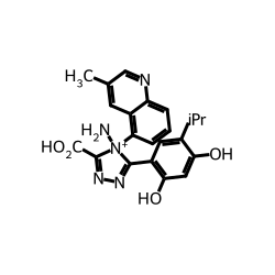 Cc1cnc2cccc([N+]3(N)C(C(=O)O)=NN=C3c3cc(C(C)C)c(O)cc3O)c2c1